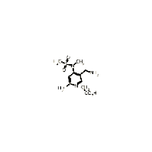 CC(=O)O.Cc1cc(N(C)S(C)(=O)=O)c(CN)cn1